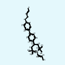 C/C=C/CCc1ccc(-c2ccc(C3CC(C)(C)N(/C=C/C)C(C)(C)C3)cc2)cc1